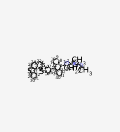 C=C(/C=C\C(=C)c1c2ccccc2c(-c2ccc3sc4c(ccc5ccc6sc7ccccc7c6c54)c3c2)c2ccccc12)/C(C)=C/C=C\C